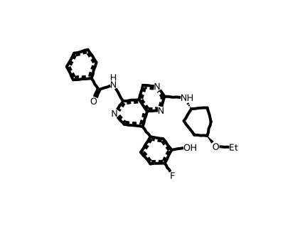 CCO[C@H]1CC[C@H](Nc2ncc3c(NC(=O)c4ccccc4)ncc(-c4ccc(F)c(O)c4)c3n2)CC1